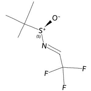 CC(C)(C)[S@@+]([O-])N=CC(F)(F)F